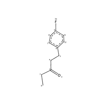 CCC(=O)CCc1ccc(F)cc1